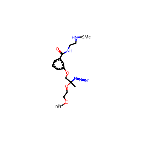 CCCOCCOC(C)(COc1cccc(C(=O)NCCNSC)c1)N=[N+]=[N-]